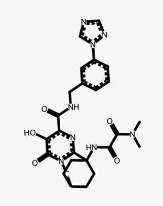 CN(C)C(=O)C(=O)NC12CCC(CC1)Cn1c2nc(C(=O)NCc2cccc(-n3cncn3)c2)c(O)c1=O